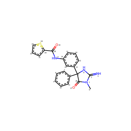 CN1C(=N)NC(c2ccccc2)(c2cccc(NC(=O)c3cccs3)c2)C1=O